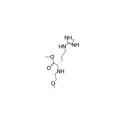 COCCN[C@@H](CCCNC(=N)N)C(=O)OC